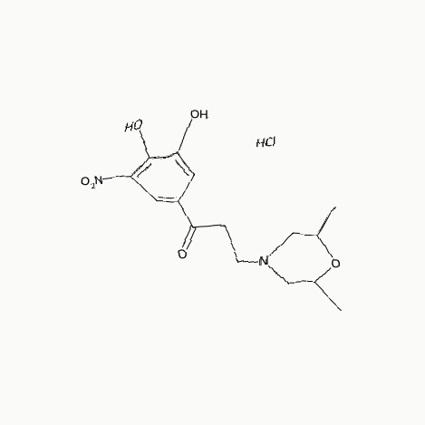 CC1CN(CCC(=O)c2cc(O)c(O)c([N+](=O)[O-])c2)CC(C)O1.Cl